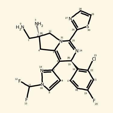 NC[C@]1(N)CC2=C(c3ccn(C(F)F)n3)[C@H](c3ccc(F)cc3Cl)N=C(c3nccs3)N2C1